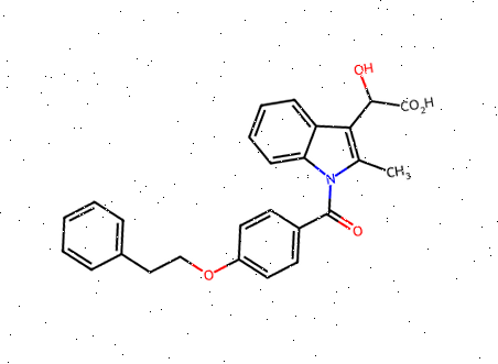 Cc1c(C(O)C(=O)O)c2ccccc2n1C(=O)c1ccc(OCCc2ccccc2)cc1